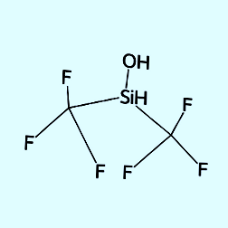 O[SiH](C(F)(F)F)C(F)(F)F